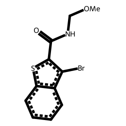 COCNC(=O)c1sc2ccccc2c1Br